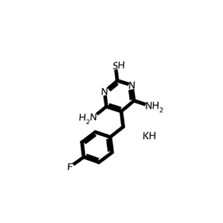 Nc1nc(S)nc(N)c1Cc1ccc(F)cc1.[KH]